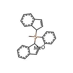 COc1ccccc1S(C)(C1C=Cc2ccccc21)C1C=Cc2ccccc21